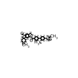 Cc1nc(-c2ccc(-c3ccc(C(=O)N4CCc5cc6c(cc54)C4(CCN(C)CC4)C[S+]6[O-])cc3)c(C)c2)no1